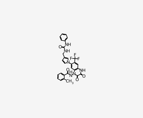 Cc1ccccc1C(=O)Nn1c(=O)c(=O)[nH]c2cc(C(F)(F)F)c(-n3ccc(CNC(=O)Nc4ccccc4)c3)cc21